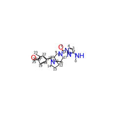 CNc1ccn(C(=O)N2CCC3(CCCN3Cc3ccc4c(c3)COC4)CC2)n1